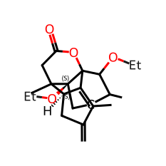 C=C1C[C@@H]2C(=C1C)C13OC(=O)CC2(C)[C@@]1(OCC)CCC(C)C3OCC